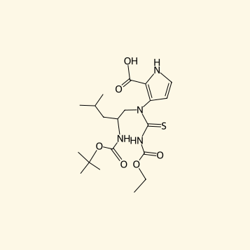 CCOC(=O)NC(=S)N(CC(CC(C)C)NC(=O)OC(C)(C)C)c1cc[nH]c1C(=O)O